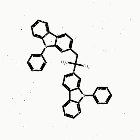 CC(C)(Cc1ccc2c3ccccc3n(-c3ccccc3)c2c1)c1ccc2c3ccccc3n(-c3ccccc3)c2c1